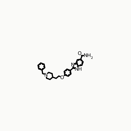 NC(=O)c1ccc2[nH]c(-c3ccc(OCCC4CCN(Cc5ccccc5)CC4)cc3)nc2c1